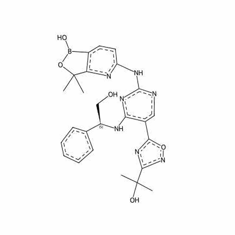 CC(C)(O)c1noc(-c2cnc(Nc3ccc4c(n3)C(C)(C)OB4O)nc2N[C@H](CO)c2ccccc2)n1